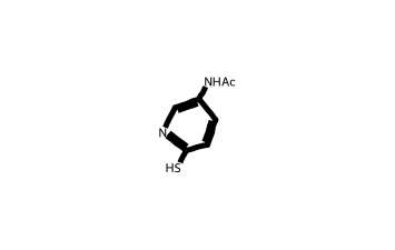 CC(=O)Nc1ccc(S)nc1